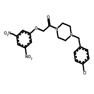 O=C(COc1cc([N+](=O)[O-])cc([N+](=O)[O-])c1)N1CCN(Cc2ccc(Cl)cc2)CC1